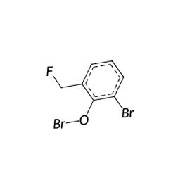 FCc1cccc(Br)c1OBr